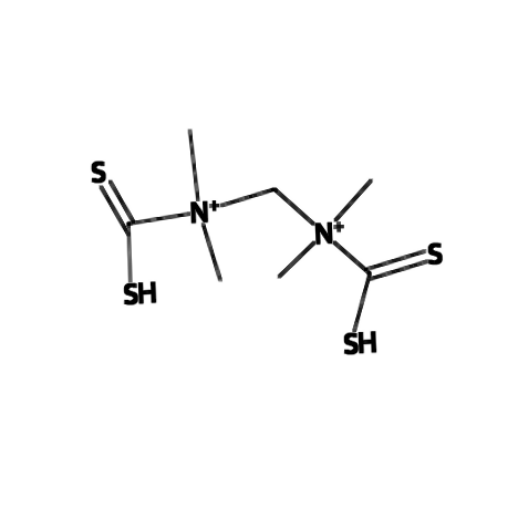 C[N+](C)(C[N+](C)(C)C(=S)S)C(=S)S